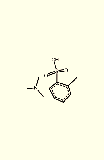 CN(C)C.Cc1ccccc1S(=O)(=O)O